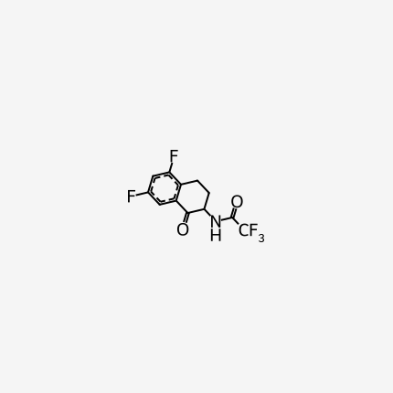 O=C1c2cc(F)cc(F)c2CCC1NC(=O)C(F)(F)F